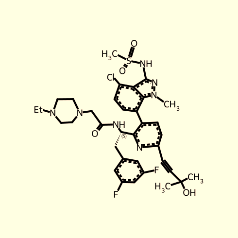 CCN1CCN(CC(=O)N[C@@H](Cc2cc(F)cc(F)c2)c2nc(C#CC(C)(C)O)ccc2-c2ccc(Cl)c3c(NS(C)(=O)=O)nn(C)c23)CC1